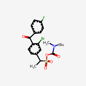 CC(c1ccc(C(=O)c2ccc(F)cc2)c(Br)c1)S(=O)(=O)OC(=O)N(C)C(C)(C)C